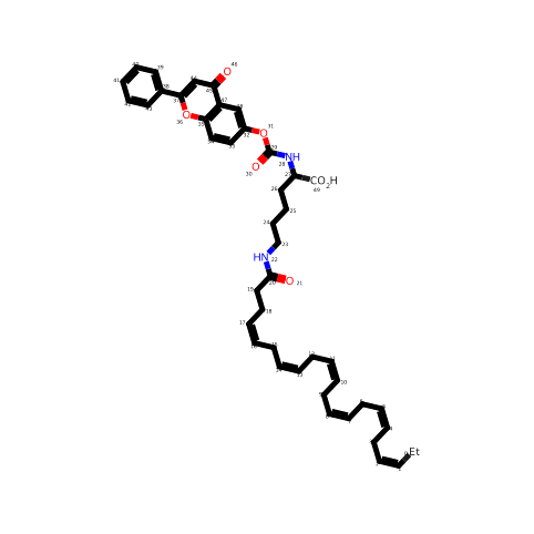 CC/C=C\C/C=C\C/C=C\C/C=C\C/C=C\C/C=C\CCC(=O)NCCCCC(NC(=O)Oc1ccc2oc(-c3ccccc3)cc(=O)c2c1)C(=O)O